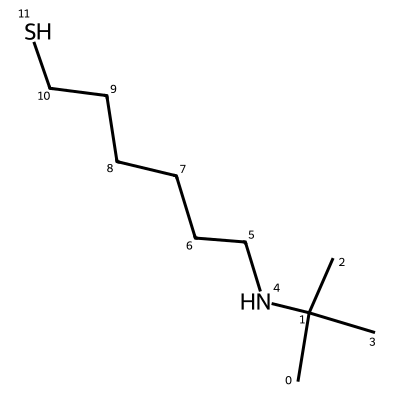 CC(C)(C)NCCCCCCS